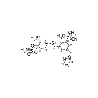 Bc1cc(SCc2cc(Cn3cncn3)cc(C(C)(C)C#N)c2)ccc1OS(N)(=O)=O